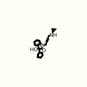 O=C(NCC#CCNC1CC1)C(O)(c1ccccc1)c1ccccc1